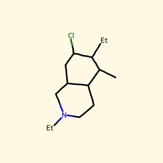 CCC1C(Cl)CC2CN(CC)CCC2C1C